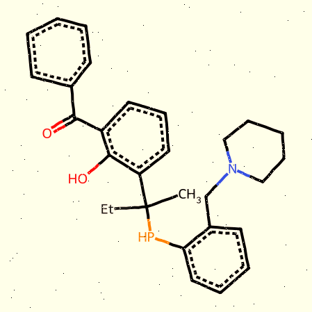 CCC(C)(Pc1ccccc1CN1CCCCC1)c1cccc(C(=O)c2ccccc2)c1O